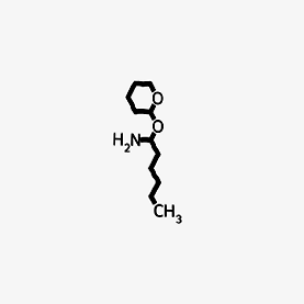 CCCCCC(N)OC1CCCCO1